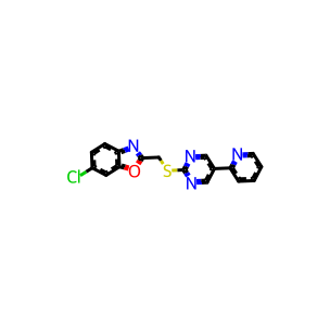 Clc1ccc2nc(CSc3ncc(-c4ccccn4)cn3)oc2c1